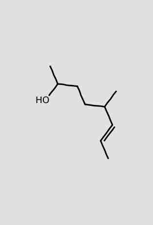 C/C=C/C(C)CCC(C)O